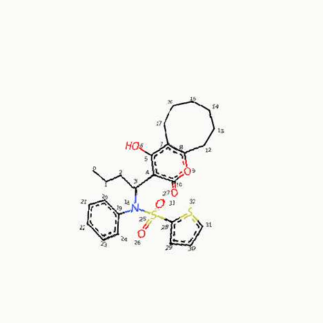 CCCC(c1c(O)c2c(oc1=O)CCCCCC2)N(c1ccccc1)S(=O)(=O)c1cccs1